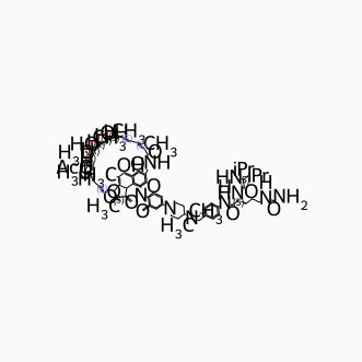 CC(=O)O[C@H]1[C@H](C)[C@H](O)[C@H](C)[C@@H](O)[C@@H](C)/C=C/C=C(/C)C(=O)Nc2c(=O)c3c(c4nc5c(=O)cc(N6CCC([N+](C)(C)Cc7ccc(NC(=O)[C@H](CCCNC(N)=O)NC(=O)[C@@H](NC(C)C)C(C)C)cc7)CC6)cc5oc24)C2C(=O)[C@@](C)(O/C=C/C[C@H]1C)OC2=C(C)C=3O